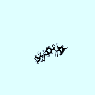 Cc1cc(C)c(NC(=O)c2ccc3nc(NC(=O)c4ccsc4)sc3c2)c(C)c1